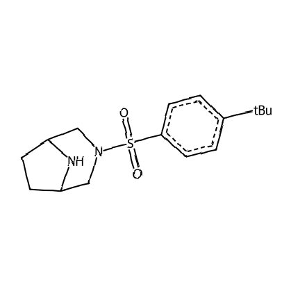 CC(C)(C)c1ccc(S(=O)(=O)N2CC3CCC(C2)N3)cc1